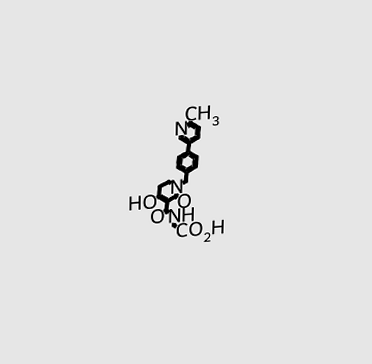 Cc1ccc(-c2ccc(CN3CCC(O)=C(C(=O)NCC(=O)O)C3=O)cc2)cn1